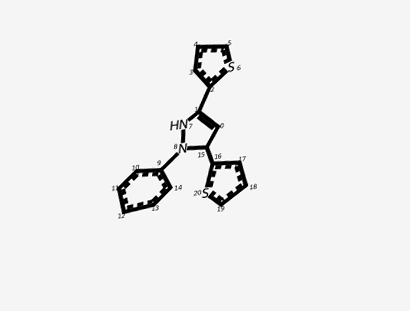 C1=C(c2cccs2)NN(c2ccccc2)C1c1cccs1